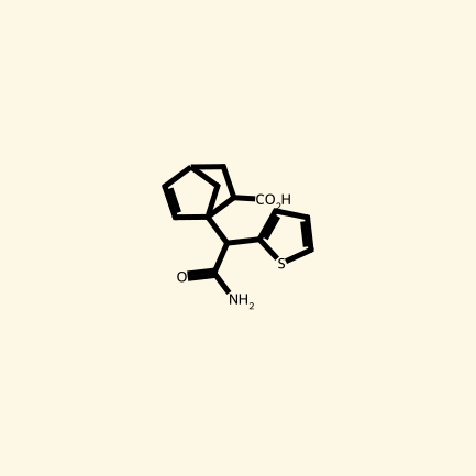 NC(=O)C(c1cccs1)C12C=CC(CC1C(=O)O)C2